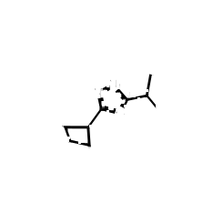 CC(C)c1nnc(C2CCC2)o1